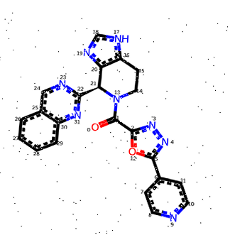 O=C(c1nnc(-c2ccncc2)o1)N1CCc2[nH]cnc2[C@@H]1c1ncc2ccccc2n1